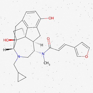 CN(C(=O)/C=C/c1ccoc1)[C@@H]1CN(CC2CC2)[C@@H]2Cc3ccc(O)c4c3[C@@]3(CC[C@@]23O)[C@H]1C4